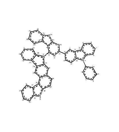 c1ccc(-n2c3ccccc3c3cc(-c4nc(-n5c6ccccc6c6cc7c(ccc8sc9ccccc9c87)cc65)c5c(n4)sc4ccccc45)ccc32)cc1